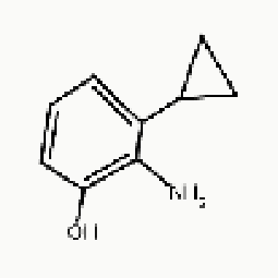 Nc1c(O)cccc1C1CC1